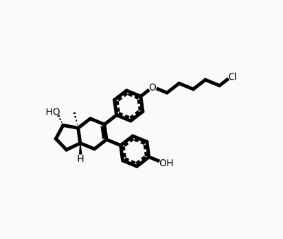 C[C@]12CC(c3ccc(OCCCCCCl)cc3)=C(c3ccc(O)cc3)C[C@@H]1CC[C@@H]2O